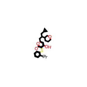 CC(C)c1ccccc1Sc1c(O)cc(CC(CC2CC2)C2CCCOC2)oc1=O